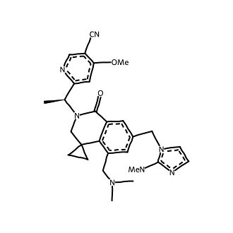 CNc1nccn1Cc1cc(CN(C)C)c2c(c1)C(=O)N([C@@H](C)c1cc(OC)c(C#N)cn1)CC21CC1